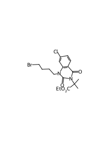 CCOC(=O)C(C)(C)n1c(=O)c2ccc(Cl)cc2n(CCCCBr)c1=O